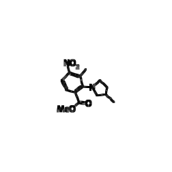 COC(=O)c1ccc([N+](=O)[O-])c(C)c1N1CCC(C)C1